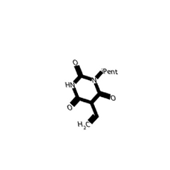 C=CC1C(=O)NC(=O)N(C(C)CCC)C1=O